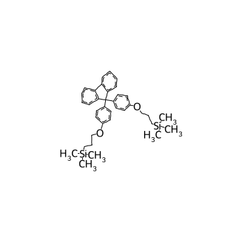 C[Si](C)(C)CCCOc1ccc(C2(c3ccc(OCCC[Si](C)(C)C)cc3)c3ccccc3-c3ccccc32)cc1